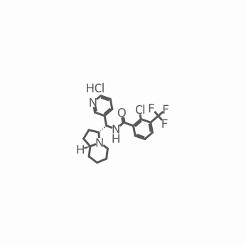 Cl.O=C(NC(c1cccnc1)[C@H]1CC[C@H]2CCCCN21)c1cccc(C(F)(F)F)c1Cl